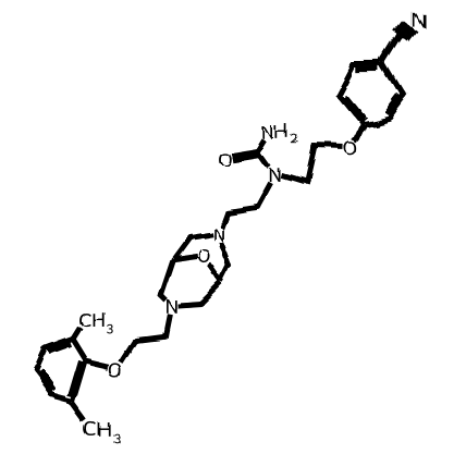 Cc1cccc(C)c1OCCN1CC2CN(CCN(CCOc3ccc(C#N)cc3)C(N)=O)CC(C1)O2